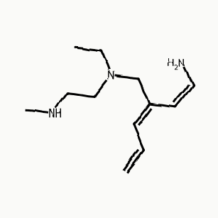 C=C/C=C(\C=C/N)CN(CC)CCNC